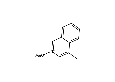 CO[n+]1cc(C)c2ccccc2c1